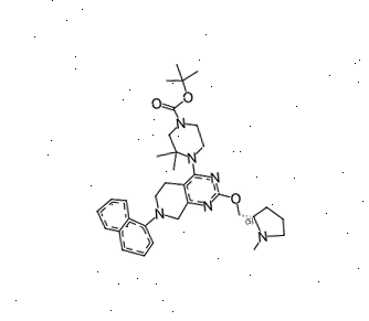 CN1CCC[C@H]1COc1nc2c(c(N3CCN(C(=O)OC(C)(C)C)CC3(C)C)n1)CCN(c1cccc3ccccc13)C2